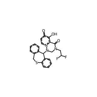 O=C1c2c(O)c(=O)ccn2N(C2c3ccccc3CSc3ccccc32)CN1CC(F)F